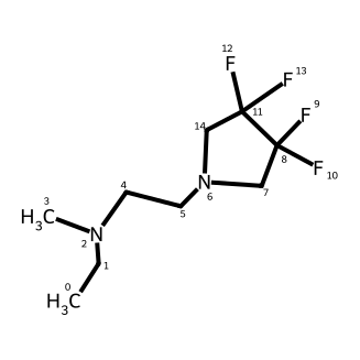 CCN(C)CCN1CC(F)(F)C(F)(F)C1